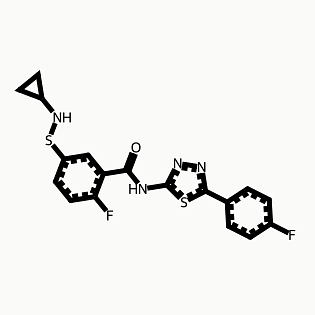 O=C(Nc1nnc(-c2ccc(F)cc2)s1)c1cc(SNC2CC2)ccc1F